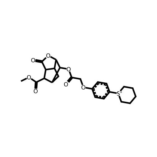 COC(=O)C1C2CC3C(OC(=O)C31)C2OC(=O)COc1ccc([S+]2CCCCC2)cc1